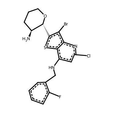 N[C@H]1CCCO[C@@H]1c1sc2c(NCc3ccccc3F)cc(Cl)nc2c1Br